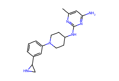 Cc1cc(N)nc(NC2CCN(c3cccc(C4CN4)c3)CC2)n1